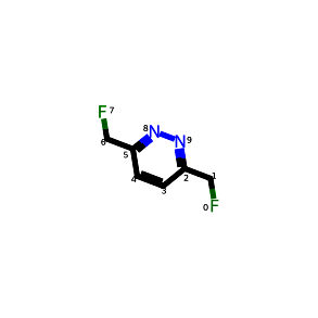 FCc1ccc(CF)nn1